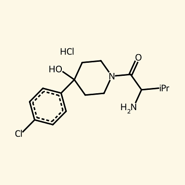 CC(C)C(N)C(=O)N1CCC(O)(c2ccc(Cl)cc2)CC1.Cl